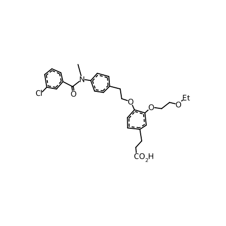 CCOCCOc1cc(CCC(=O)O)ccc1OCCc1ccc(N(C)C(=O)c2cccc(Cl)c2)cc1